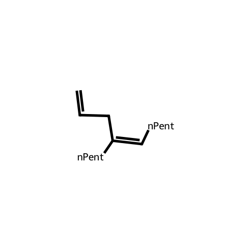 C=CCC(=CCCCCC)CCCCC